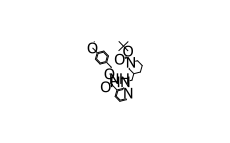 COc1ccc(CONC(=O)c2cccnc2NCC2CCCN(C(=O)OC(C)(C)C)C2)cc1